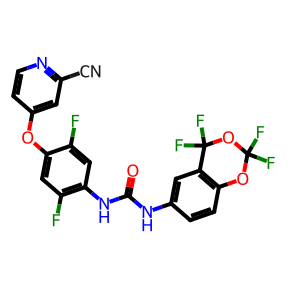 N#Cc1cc(Oc2cc(F)c(NC(=O)Nc3ccc4c(c3)C(F)(F)OC(F)(F)O4)cc2F)ccn1